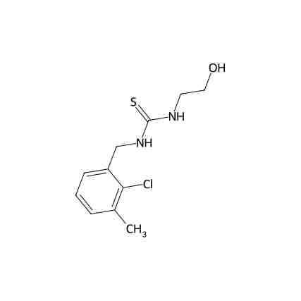 Cc1cccc(CNC(=S)NCCO)c1Cl